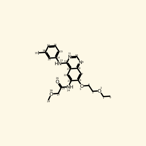 CCOCCOc1cc2ncnc(Nc3cccc(I)c3)c2cc1NC(=O)COC